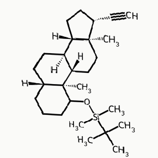 C#C[C@H]1CC[C@H]2[C@@H]3CC[C@H]4CCCC(O[Si](C)(C)C(C)(C)C)[C@]4(C)[C@H]3CC[C@]12C